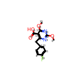 COc1nc(Cc2ccc(F)cc2)c(C(=O)O)c(OC)n1